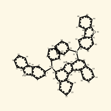 c1ccc(N(c2ccc3oc4ccccc4c3c2)c2cc3ccccc3c3c2sc2c(N(c4ccccc4)c4ccc5oc6ccccc6c5c4)cc4ccccc4c23)cc1